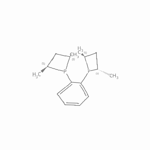 C[C@H]1C[C@H](C)P1c1ccccc1P1[C@@H](C)C[C@@H]1C